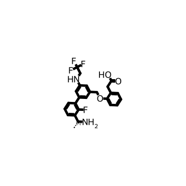 C[C@@H](N)c1cccc(-c2cc(COc3ccccc3CC(=O)O)cc(NCC(F)(F)F)c2)c1F